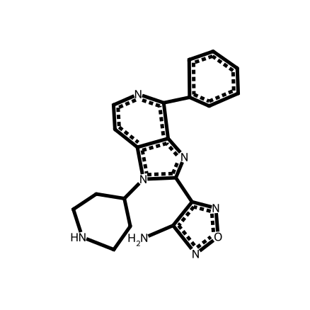 Nc1nonc1-c1nc2c(-c3ccccc3)nccc2n1C1CCNCC1